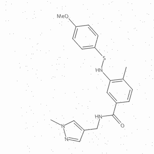 COc1ccc(SNc2cc(C(=O)NCc3cnn(C)c3)ccc2C)cc1